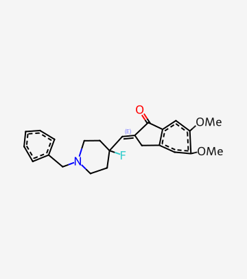 COc1cc2c(cc1OC)C(=O)/C(=C/C1(F)CCN(Cc3ccccc3)CC1)C2